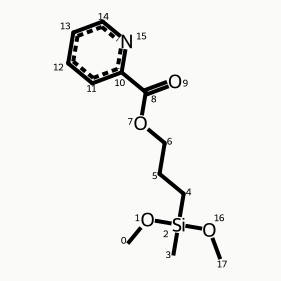 CO[Si](C)(CCCOC(=O)c1ccccn1)OC